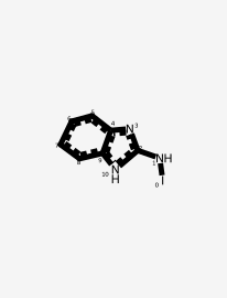 INc1nc2ccccc2[nH]1